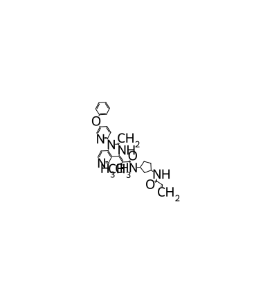 C=CC(=O)NC1CCC(NC(=O)/C(C)=C2\NC(=C)N(c3ccc(Oc4ccccc4)cn3)c3ccnc(C)c32)C1